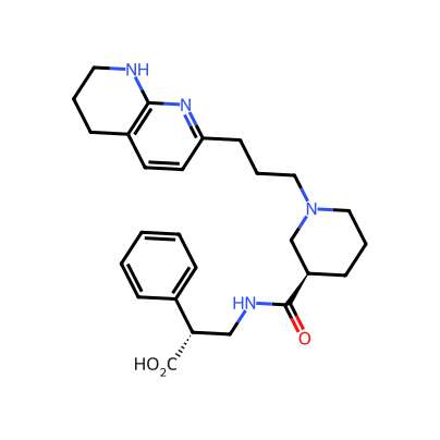 O=C(NC[C@H](C(=O)O)c1ccccc1)[C@@H]1CCCN(CCCc2ccc3c(n2)NCCC3)C1